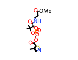 COC(=O)CCNC(=O)[C@@H]1OP(=O)(OCOC(=O)c2sncc2C)OCC1(C)C